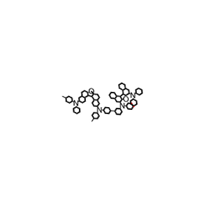 Cc1ccc(N(c2ccccc2)c2ccc3c(ccc4oc5ccc6cc(N(c7ccc(C)cc7)c7ccc(-c8cccc(N(c9ccccc9)c9cc%10ccccc%10c%10c9oc9c(N(c%11ccccc%11)c%11ccccc%11)cc%11ccccc%11c9%10)c8)cc7)ccc6c5c43)c2)cc1